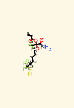 C=CC(=O)OC(OCCCCC(F)(F)C(F)(F)S)(C(N)=O)C(F)(F)F